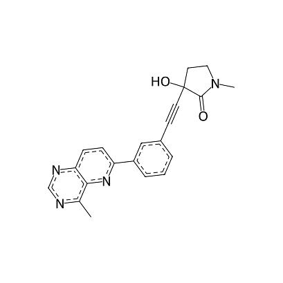 Cc1ncnc2ccc(-c3cccc(C#CC4(O)CCN(C)C4=O)c3)nc12